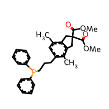 COC(=O)C1(C(=O)OC)Cc2c(C)cc(CCCP(c3ccccc3)c3ccccc3)c(C)c2C1